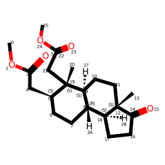 COC(=O)C[C@@H]1CC[C@@H]2[C@H](CC[C@]3(C)C(=O)CC[C@@H]23)[C@@]1(C)CC(=O)OC